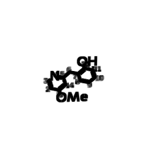 COc1ccnc(Cc2ccc[c]c2O)c1